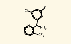 NC(c1cc(F)cc(Cl)c1)c1ncccc1C(F)(F)F